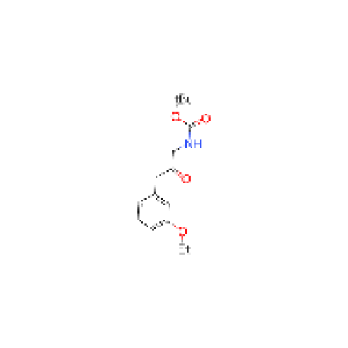 CCOc1cccc(CC(=O)CNC(=O)OC(C)(C)C)c1